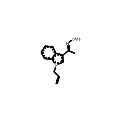 C=CCn1cc(C(C)=NOC)c2ccccc21